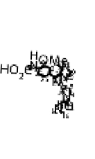 COc1cc(-c2nc([C@@H]3CCN(C(=O)CN(C)C)C3)n3ccnc(C)c23)ccc1NC(=O)O